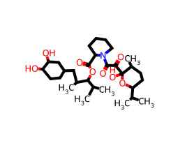 CC(C)C1CCC(C)C(O)(C(=O)C(=O)N2CCCCC2C(=O)OC(C(C)C)C(C)CC2CCC(O)C(O)C2)O1